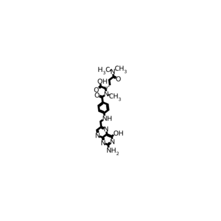 CN(C)C(=O)CC[C@@H](C(=O)O)N(C)C(=O)c1ccc(NCc2cnc3nc(N)nc(O)c3n2)cc1